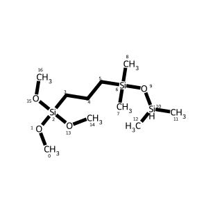 CO[Si](CCC[Si](C)(C)O[SiH](C)C)(OC)OC